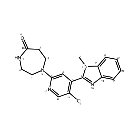 Cn1c(-c2cc(N3CCNC(=O)CC3)ncc2Cl)nc2ccccc21